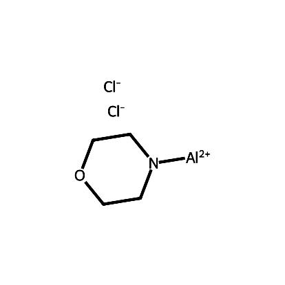 [Al+2][N]1CCOCC1.[Cl-].[Cl-]